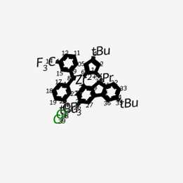 CC(C)C1C=C(C(C)(C)C)C=[C]1[Zr+2](=[C](c1cccc(C(F)(F)F)c1)c1cccc(C(F)(F)F)c1)[c]1cc(C(C)(C)C)cc2c1Cc1ccc(C(C)(C)C)cc1-2.[Cl-].[Cl-]